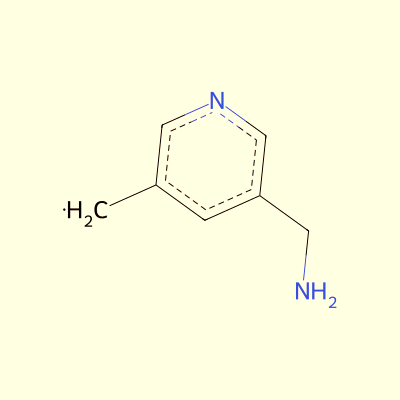 [CH2]c1cncc(CN)c1